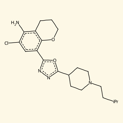 CC(C)CCN1CCC(c2nnc(-c3cc(Cl)c(N)c4c3OCCC4)o2)CC1